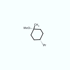 CO[C@]1(C)CC[C@H](C(C)C)CC1